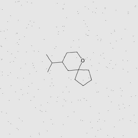 CC(C)C1CCOC2(CCCC2)C1